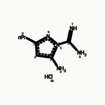 CCCc1cc(N)n(C(=N)N)n1.Cl